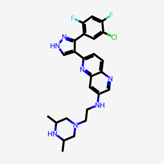 CC1CN(CCNc2cnc3ccc(-c4c[nH]nc4-c4cc(Cl)c(F)cc4F)nc3c2)CC(C)N1